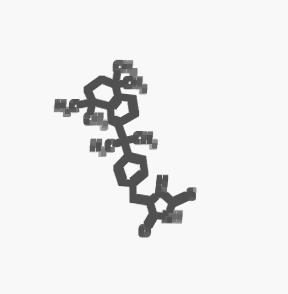 CC1(C)CCC(C)(C)c2cc(C(C)(C)c3ccc(/C=C4\NC(=S)NC4=O)cc3)ccc21